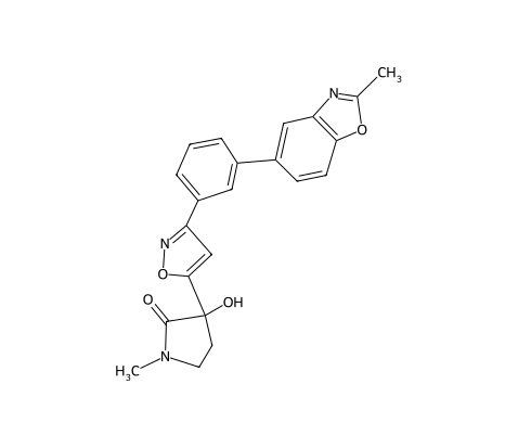 Cc1nc2cc(-c3cccc(-c4cc(C5(O)CCN(C)C5=O)on4)c3)ccc2o1